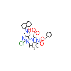 CC1CN(c2nc(Cl)nc3c2CCN(c2cccc4ccccc24)C3)C(CC(=O)O)CN1C(=O)OCc1ccccc1